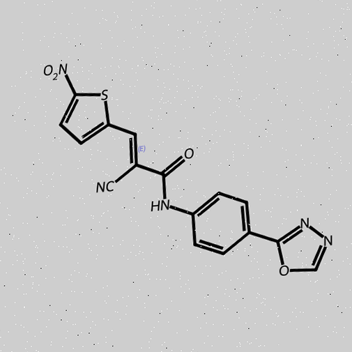 N#C/C(=C\c1ccc([N+](=O)[O-])s1)C(=O)Nc1ccc(-c2nnco2)cc1